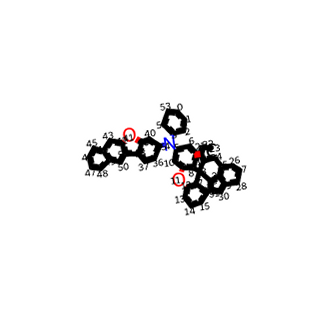 c1ccc(N(c2ccc3c(c2)Oc2ccccc2C32c3ccccc3-c3cccc4cccc2c34)c2ccc3c(c2)oc2cc4ccccc4cc23)cc1